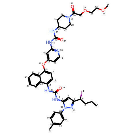 CCCC(I)c1cc(NC(=O)Nc2ccc(Oc3ccnc(NC(=O)NC4CCN(C(=O)COCCOC)CC4)c3)c3ccccc23)n(-c2ccc(C)cc2)n1